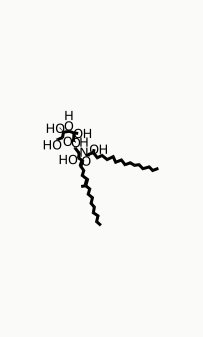 CCCCCCCCCCCCCCC(O)C(=O)NC(CO[C@@H]1OC(CO)[C@H](O)[C@H](O)C1O)C(O)/C=C/CC/C=C(\C)CCCCCCCCC